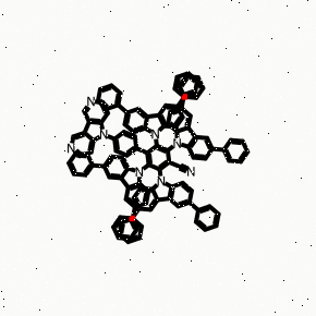 N#Cc1c(-n2c3ccc(-c4ccccc4)cc3c3cc(-c4ccccc4)ccc32)c(-n2c3ccc(-c4ccccc4)cc3c3cc(-c4ccccc4)ccc32)c(-c2ccc(-n3c4ccncc4c4cnccc43)cc2)c(-n2c3ccc(-c4ccccc4)cc3c3cc(-c4ccccc4)ccc32)c1-n1c2ccc(-c3ccccc3)cc2c2cc(-c3ccccc3)ccc21